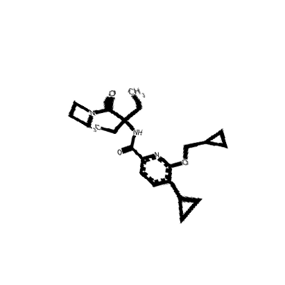 CCC(CC)(NC(=O)c1ccc(C2CC2)c(OCC2CC2)n1)C(=O)N1CCC1